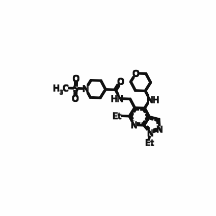 CCc1nc2c(cnn2CC)c(NC2CCOCC2)c1CNC(=O)C1CCN(S(C)(=O)=O)CC1